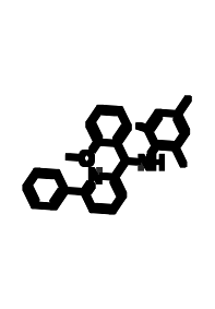 COc1ccccc1C(Nc1c(C)cc(C)cc1C)c1cccc(-c2ccccc2)n1